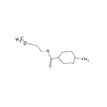 COCCOC(=O)C1CCC(C)CC1